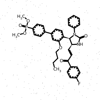 CCCCOc1cc(-c2ccc(P(=O)(OC)OC)cc2)ccc1[C@@H]1[C@H](/C=C/C(=O)c2ccc(F)cc2)NC(=O)N1c1ccccc1